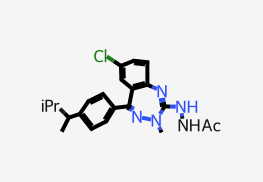 CC(=O)NNC1=Nc2ccc(Cl)cc2C(c2ccc(C(C)C(C)C)cc2)=NN1C